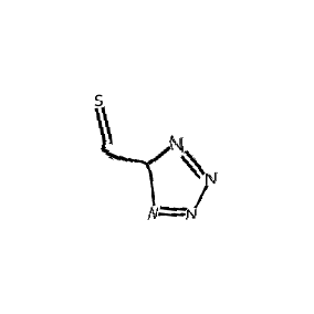 S=CC1N=NN=N1